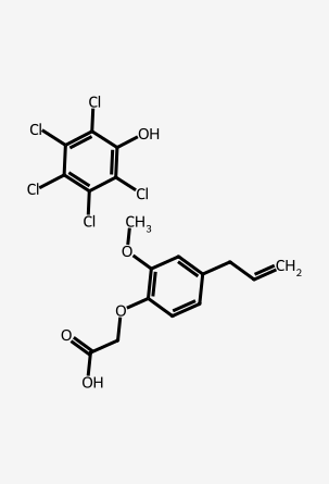 C=CCc1ccc(OCC(=O)O)c(OC)c1.Oc1c(Cl)c(Cl)c(Cl)c(Cl)c1Cl